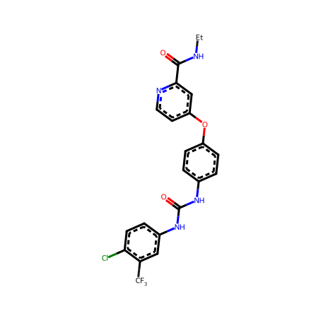 CCNC(=O)c1cc(Oc2ccc(NC(=O)Nc3ccc(Cl)c(C(F)(F)F)c3)cc2)ccn1